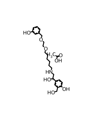 CC(=O)O.OCc1cc([C@@H](O)CNCCCCCCOCCOCc2cccc(O)c2)ccc1O